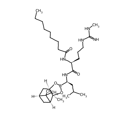 CCCCCCCCC(=O)N[C@@H](CCCNC(=N)NC)C(=O)N[C@@H](CC(C)C)B1O[C@@H]2C[C@@H]3C[C@@H](C3(C)C)[C@]2(C)O1